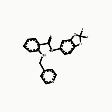 O=C(Nc1ccc2c(c1)OC(F)(F)O2)c1ccccc1NCc1ccncc1